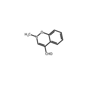 CN1C=C(C=O)c2ccccc2O1